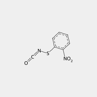 O=C=NSc1ccccc1[N+](=O)[O-]